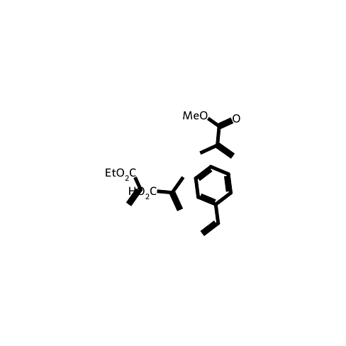 C=C(C)C(=O)O.C=C(C)C(=O)OC.C=CC(=O)OCC.C=Cc1ccccc1